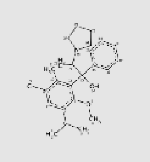 COc1c(C(C)C)cc(Cl)c(C)c1C(O)(c1ccccc1)C(C)N1CCCC1